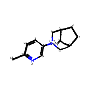 CNC1C2CCC1CN(c1ccc(C)nc1)C2